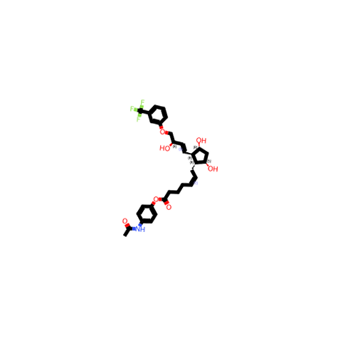 CC(=O)Nc1ccc(OC(=O)CCC/C=C\C[C@@H]2[C@@H](/C=C/[C@@H](O)COc3cccc(C(F)(F)F)c3)[C@H](O)C[C@@H]2O)cc1